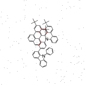 CC(C)(C)c1ccc(-c2ccccc2N(c2ccc(-c3cccc4c5ccccc5n(-c5ccccc5)c34)cc2)c2ccccc2-c2cccc3cccc(-c4cc(C(C)(C)C)cc(C(C)(C)C)c4)c23)cc1